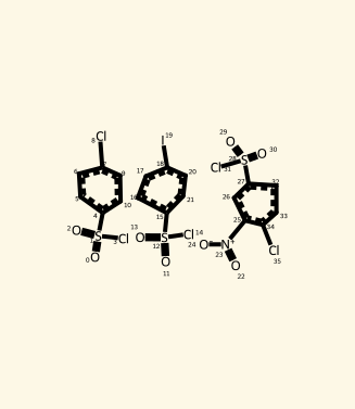 O=S(=O)(Cl)c1ccc(Cl)cc1.O=S(=O)(Cl)c1ccc(I)cc1.O=[N+]([O-])c1cc(S(=O)(=O)Cl)ccc1Cl